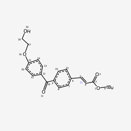 CC(C)(C)OC(=O)/C=C/c1ccc(C(=O)c2ccc(OCCO)cc2)cc1